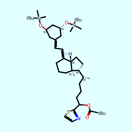 C[C@H](CCCC(OC(=O)C(C)(C)C)c1nccs1)[C@H]1CC[C@H]2/C(=C/C=C3C[C@@H](O[Si](C)(C)C(C)(C)C)C[C@H](O[Si](C)(C)C(C)(C)C)C3)CCC[C@]12C